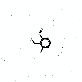 O=Nc1cccc(F)c1CF